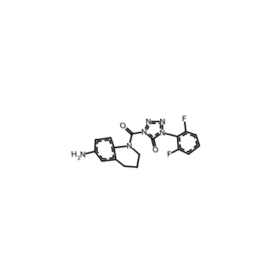 Nc1ccc2c(c1)CCCN2C(=O)n1nnn(-c2c(F)cccc2F)c1=O